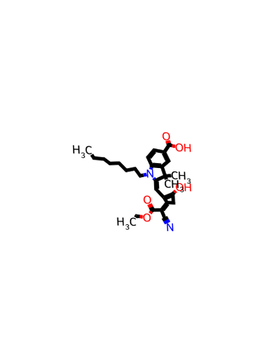 CCCCCCCCN1/C(=C/C2=C(O)CC2=C(C#N)C(=O)OCC)C(C)(C)c2cc(C(=O)O)ccc21